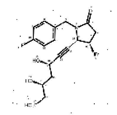 CC(C)[C@@H]1CC(=O)N(Cc2ccc(F)cc2)[C@H]1C#C[C@H](O)C[C@H](O)CC(=O)O